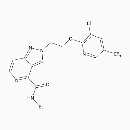 CCNC(=O)c1nccc2nn(CCOc3ncc(C(F)(F)F)cc3Cl)cc12